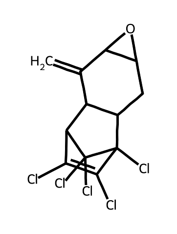 C=C1C2OC2CC2C1C1C(Cl)=C(Cl)C2(Cl)C1(Cl)Cl